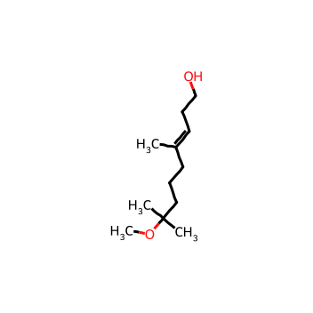 COC(C)(C)CCC/C(C)=C/CCO